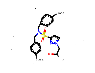 COc1ccc(CN(Cc2ccc(OC)cc2)S(=O)(=O)c2ccn(CC(O)C(F)(F)F)n2)cc1